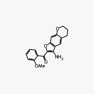 COc1ccccc1C(=O)c1oc2cc3c(cc2c1N)CCCO3